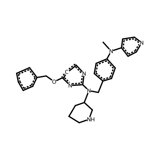 CN(c1ccncc1)c1ccc(CN(c2nccc(OCc3ccccc3)n2)C2CCCNC2)cc1